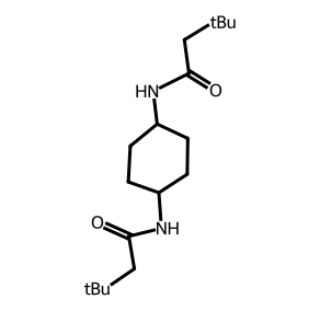 CC(C)(C)CC(=O)NC1CCC(NC(=O)CC(C)(C)C)CC1